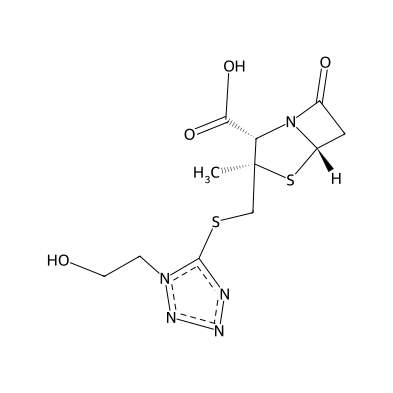 C[C@@]1(CSc2nnnn2CCO)S[C@H]2CC(=O)N2[C@H]1C(=O)O